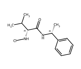 CC(C)[C@@H](NCl)C(=O)N[C@H](C)c1ccccc1